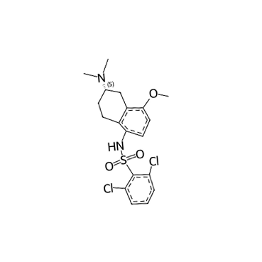 COc1ccc(NS(=O)(=O)c2c(Cl)cccc2Cl)c2c1C[C@@H](N(C)C)CC2